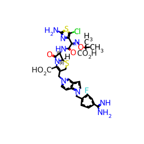 CC(C)(O/N=C(\C(=O)N[C@@H]1C(=O)N2C(C(=O)O)=C(C[n+]3ccc4c(ccn4Cc4ccc(C(=N)N)cc4F)c3)CS[C@H]12)c1nc(N)sc1Cl)C(=O)O